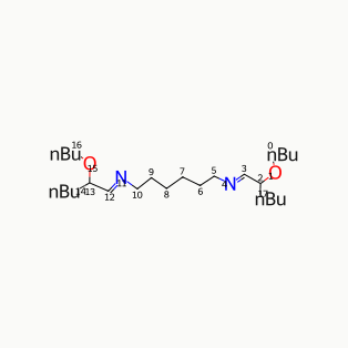 CCCCOC(C=NCCCCCCN=CC(CCCC)OCCCC)CCCC